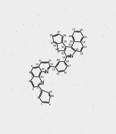 c1ccc(-c2ccc3ccc4ccc(-c5cccc(-c6nc7ccc8ccccc8c7c7c6sc6ccccc67)c5)nc4c3n2)cc1